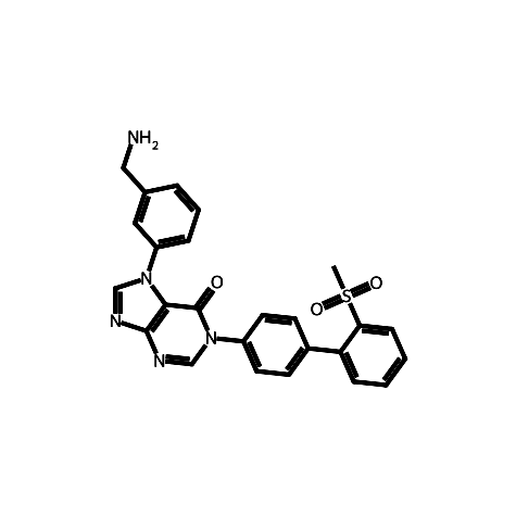 CS(=O)(=O)c1ccccc1-c1ccc(-n2cnc3ncn(-c4cccc(CN)c4)c3c2=O)cc1